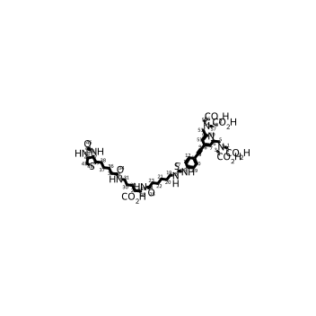 O=C(O)CN(CC(=O)O)Cc1cc(C#Cc2ccc(NC(=S)NCCCCCC(=O)NC(CCCCNC(=O)CCCCC3SCC4NC(=O)NC43)C(=O)O)cc2)cc(CN(CC(=O)O)CC(=O)O)n1